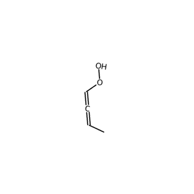 CC=C=COO